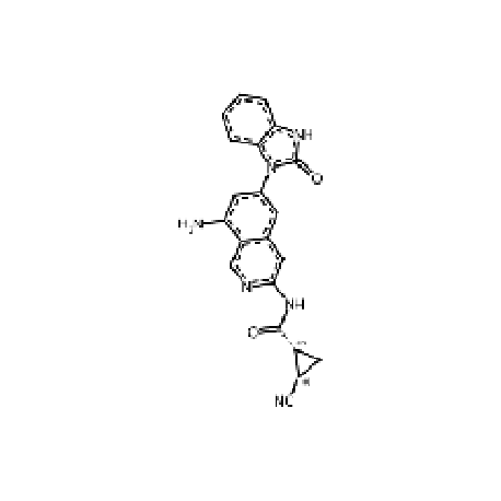 N#C[C@@H]1C[C@H]1C(=O)Nc1cc2cc(-n3c(=O)[nH]c4ccccc43)cc(N)c2cn1